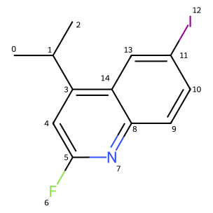 CC(C)c1cc(F)nc2ccc(I)cc12